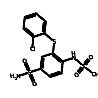 CS(=O)(=O)Nc1ccc(S(N)(=O)=O)cc1Sc1ccccc1Cl